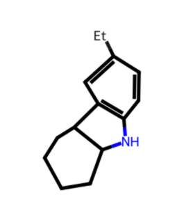 CCc1ccc2c(c1)C1CCCCC1N2